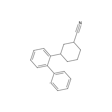 N#CC1CCCC(c2ccccc2-c2[c]cccc2)C1